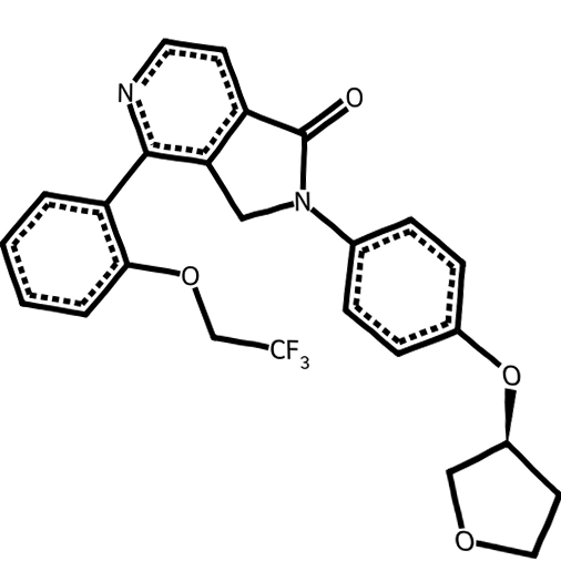 O=C1c2ccnc(-c3ccccc3OCC(F)(F)F)c2CN1c1ccc(O[C@H]2CCOC2)cc1